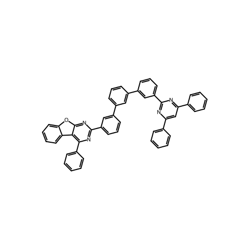 c1ccc(-c2cc(-c3ccccc3)nc(-c3cccc(-c4cccc(-c5cccc(-c6nc(-c7ccccc7)c7c(n6)oc6ccccc67)c5)c4)c3)n2)cc1